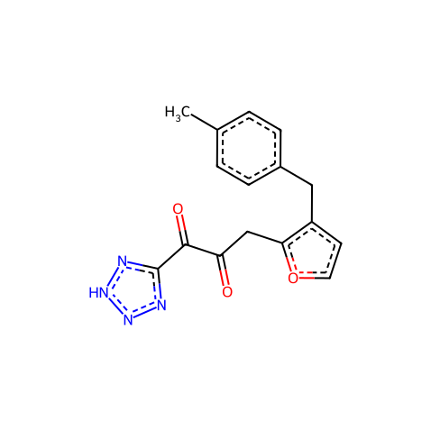 Cc1ccc(Cc2ccoc2CC(=O)C(=O)c2nn[nH]n2)cc1